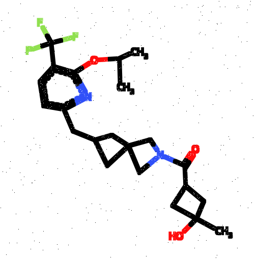 CC(C)Oc1nc(CC2CC3(C2)CN(C(=O)C2CC(C)(O)C2)C3)ccc1C(F)(F)F